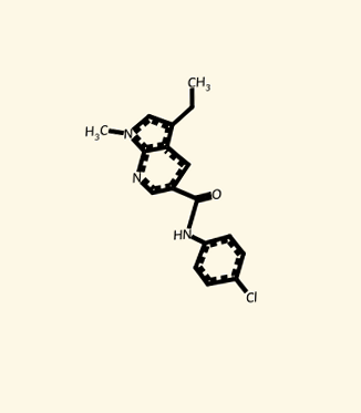 CCc1cn(C)c2ncc(C(=O)Nc3ccc(Cl)cc3)cc12